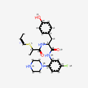 C/C=C\SC(C)C(=O)NC(Cc1ccc(O)cc1)C(=O)Nc1cc(F)ccc1N1CCNCC1